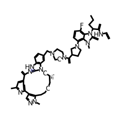 C=CNC(=C)C(CCC)N1C(=C)N(C)c2c(N3CCC(C(=C)N4CCN(Cc5ccc6c(c5)N5C[C@H](C)CCCCc7c(cnn7C)-c7cc(cc(C)n7)C(=C)/N=C/5N6)CC4)C3)ccc(F)c21